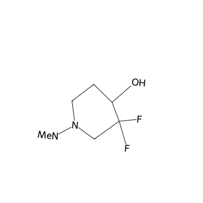 CNN1CCC(O)C(F)(F)C1